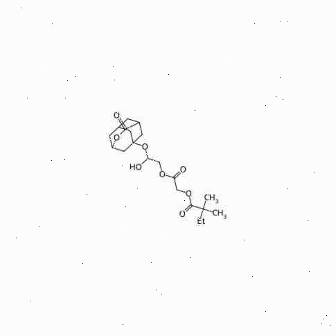 CCC(C)(C)C(=O)OCC(=O)OCC(O)OC12CC3CC(C1)OC(=O)C(C3)C2